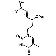 COC(/C=C/P(O)O)CCn1cc(C)c(=O)[nH]c1=O